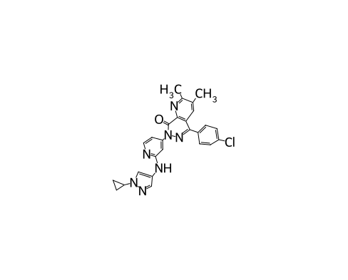 Cc1cc2c(-c3ccc(Cl)cc3)nn(-c3ccnc(Nc4cnn(C5CC5)c4)c3)c(=O)c2nc1C